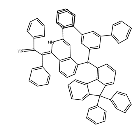 N=C(/C(=C1\NC(c2ccccc2)=Cc2c1cccc2N(c1cc(-c2ccccc2)cc(-c2ccccc2)c1)c1cccc2c1-c1ccccc1C2(c1ccccc1)c1ccccc1)c1ccccc1)c1ccccc1